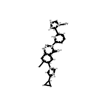 Cc1cc2nnn(-c3cccc(-c4nncn4C(C)C)n3)c(=O)c2cc1-n1cnc(C2CC2)c1